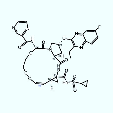 CCc1nc2ccc(F)cc2nc1O[C@@H]1C[C@H]2C(=O)N[C@]3(C(=O)NS(=O)(=O)C4CC4)C[C@H]3/C=C\CCCCC[C@H](NC(=O)c3cnccn3)C(=O)N2C1